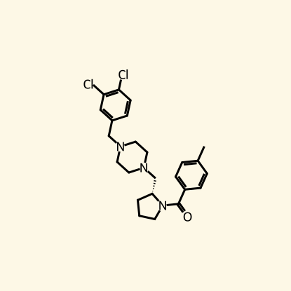 Cc1ccc(C(=O)N2CCC[C@@H]2CN2CCN(Cc3ccc(Cl)c(Cl)c3)CC2)cc1